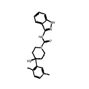 Cc1ccc(C)c(C2(O)CCN(C(=O)Nc3n[nH]c4ccccc34)CC2)c1